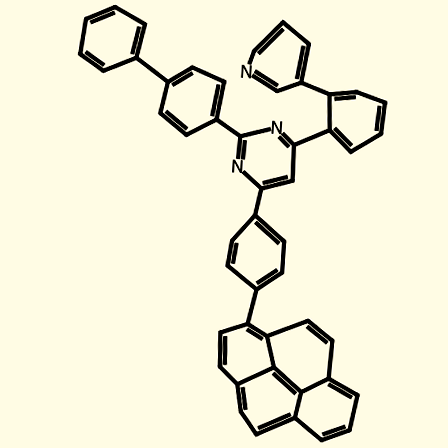 c1ccc(-c2ccc(-c3nc(-c4ccc(-c5ccc6ccc7cccc8ccc5c6c78)cc4)cc(-c4ccccc4-c4cccnc4)n3)cc2)cc1